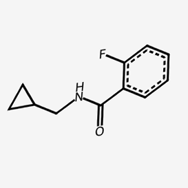 O=C(NCC1CC1)c1ccccc1F